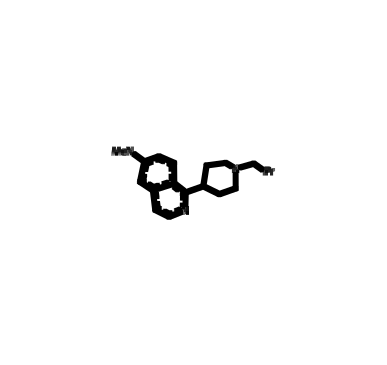 CNc1ccc2c(C3CCN(CC(C)C)CC3)nccc2c1